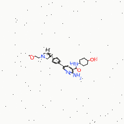 COCCN1C[C@H]2C[C@@]2(c2ccc(-c3cnc(N)c(C(=O)NC4CCC(O)CC4)c3)cc2)C1